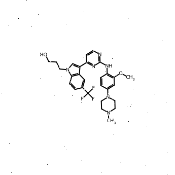 COc1cc(N2CCN(C)CC2)ccc1Nc1nccc(-c2cn(CCCO)c3ccc(C(F)(F)F)cc23)n1